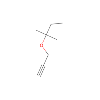 C#CCOC(C)(C)CC